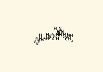 C[C@@H]1CN(c2nc(N)nc(NC[C@H]3CC[C@H](CNCCCNC4CCCCC4)CC3)n2)CCN1